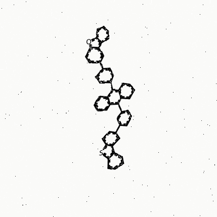 c1cc(-c2ccc3sc4ccccc4c3c2)cc(-c2c3ccccc3c(-c3ccc(-c4ccc5oc6ccccc6c5c4)cc3)c3ccccc23)c1